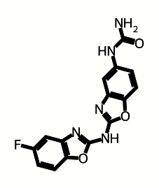 NC(=O)Nc1ccc2oc(Nc3nc4cc(F)ccc4o3)nc2c1